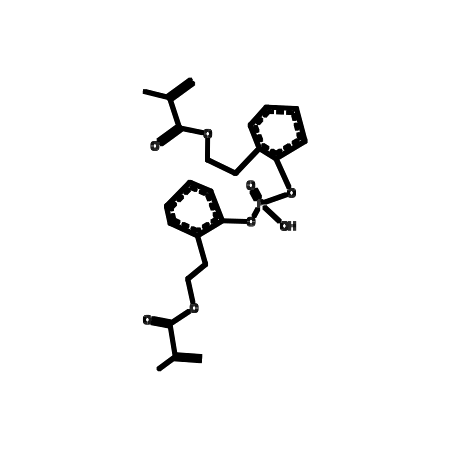 C=C(C)C(=O)OCCc1ccccc1OP(=O)(O)Oc1ccccc1CCOC(=O)C(=C)C